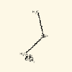 C=CC(=O)[O-].C=CC(=O)[O-].CCCCCCCCCCCCCCCCC[CH2][Sn+2][CH2]CCCCCCCCCCCCCCCCC